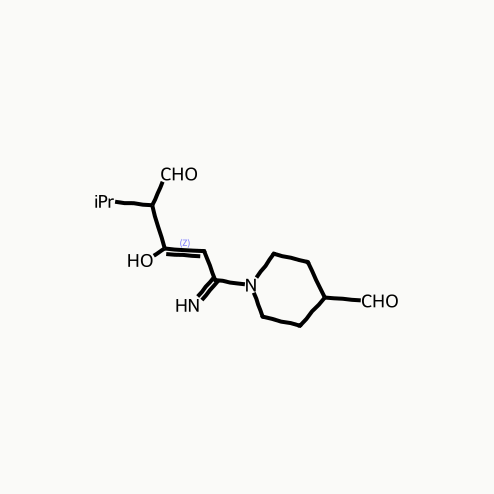 CC(C)C(C=O)/C(O)=C/C(=N)N1CCC(C=O)CC1